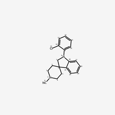 N#CN1CCC2(CC1)CN(c1ccccc1Cl)c1ccccc12